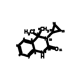 CC1(C)c2ccccc2NC(=O)N1C1CC1